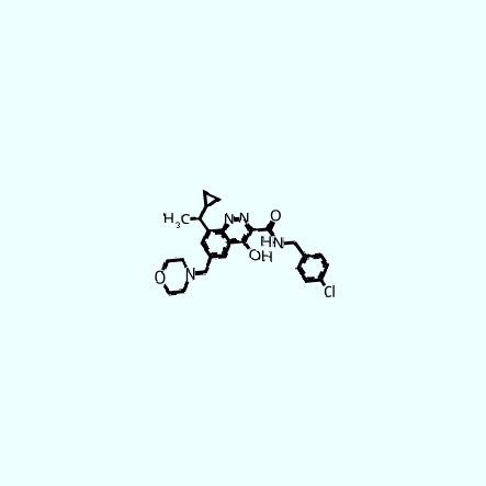 CC(c1cc(CN2CCOCC2)cc2c(O)c(C(=O)NCc3ccc(Cl)cc3)nnc12)C1CC1